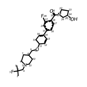 CC(C)(F)CN1CCC(COC2C=CC(c3ccc(C(=O)N4CC[C@@H](O)C4)c(F)c3)=CC2)CC1